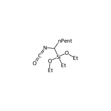 CCCCCC(N=C=O)[Si](CC)(OCC)OCC